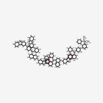 CC1(C)c2ccccc2-c2c(-c3ccc(N(c4ccccc4-c4ccc5oc6ccc(-c7ccc(N(c8ccccc8-c8ccc9oc%10ccc(-c%11ccc%12c(N(c%13ccc(-c%14ccc%15sc%16ccccc%16c%15c%14)cc%13)c%13ccccc%13-c%13ccc%14oc%15ccccc%15c%14c%13)cccc%12c%11)cc%10c9c8)c8cccc9sc%10ccccc%10c89)c8ccccc78)cc6c5c4)c4cccc5ccccc45)cc3)cccc21